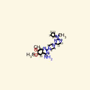 COc1cc2nc(N3CCN(c4ccnc(N(C)C5CCCC5)n4)CC3)nc(N)c2cc1OC